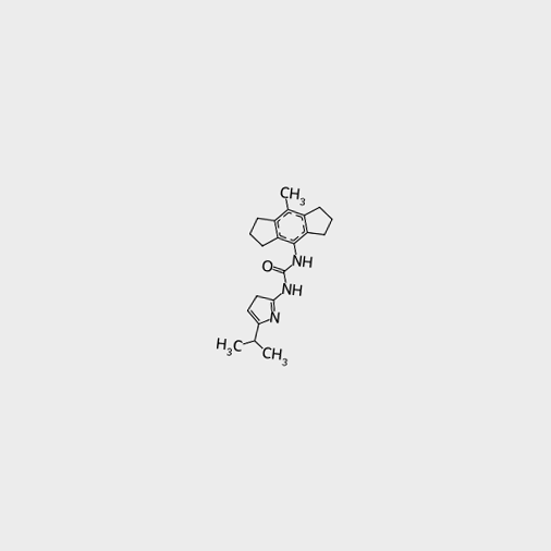 Cc1c2c(c(NC(=O)NC3=NC(C(C)C)=CC3)c3c1CCC3)CCC2